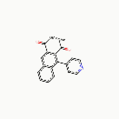 COC(=O)c1cc2ccccc2c(-c2ccncc2)c1C(=O)OC